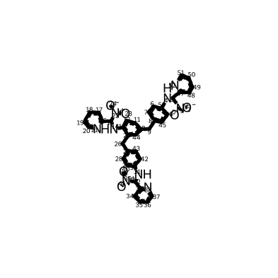 O=[N+]([O-])C(Nc1ccc(Cc2ccc(NC(c3ccccn3)[N+](=O)[O-])c(Cc3ccc(NC(c4ccccn4)[N+](=O)[O-])cc3)c2)cc1)c1ccccn1